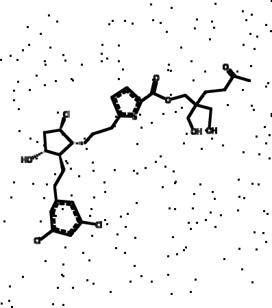 CC(=O)CCC(CO)(CO)COC(=O)c1ccc(CCC[C@@H]2[C@@H](CCc3cc(Cl)cc(Cl)c3)[C@H](O)C[C@H]2Cl)s1